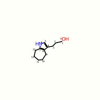 OCCCc1c[nH]c2c1CCCCC2